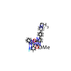 COCOc1ccc(F)cc1C(c1nc2ccccc2[nH]1)n1cnc2ccc(-c3ccc(C4CCN(C)CC4)cc3)nc2c1=O